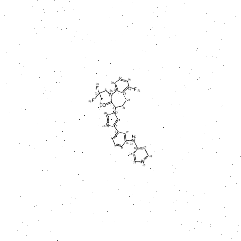 O=C1C(n2cc(-c3cccc(Nc4ccncc4)c3)nn2)CCc2c(F)cccc2N1CC(F)(F)F